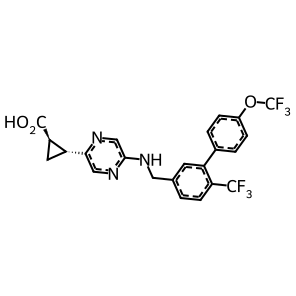 O=C(O)[C@@H]1C[C@H]1c1cnc(NCc2ccc(C(F)(F)F)c(-c3ccc(OC(F)(F)F)cc3)c2)cn1